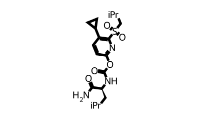 CC(C)C[C@H](NC(=O)Oc1ccc(C2CC2)c(S(=O)(=O)CC(C)C)n1)C(N)=O